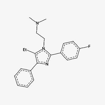 CCc1c(-c2ccccc2)nc(-c2ccc(F)cc2)n1CCN(C)C